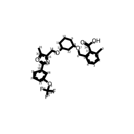 Cc1cccc(COC2CCCC(OCc3nc(-c4cccc(OC(F)(F)F)c4)oc3C)C2)c1C(=O)O